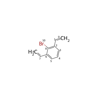 C=Cc1cccc(C=C)c1Br